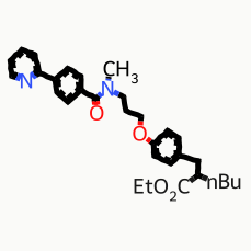 CCCCC(Cc1ccc(OCCCN(C)C(=O)c2ccc(-c3ccccn3)cc2)cc1)C(=O)OCC